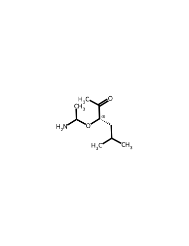 CC(=O)[C@H](CC(C)C)OC(C)N